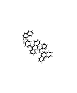 c1ccc2c(c1)ccc1oc3ccc(-c4c5ccccc5c(-c5cc6c7ccccc7c7ccccc7c6c6ccccc56)c5ccccc45)cc3c12